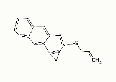 C=CCSc1cc2cc3ccccc3cc2c2c1C2